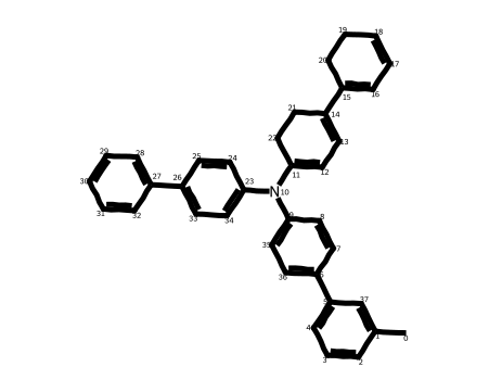 Cc1cccc(-c2ccc(N(C3=CC=C(C4=CC=CCC4)CC3)c3ccc(-c4ccccc4)cc3)cc2)c1